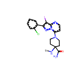 CCNC1(C(N)=O)CCN(c2ccnc3c(I)c(-c4ccccc4Cl)nn23)CC1